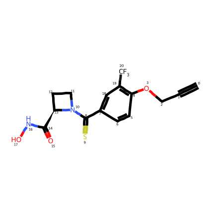 C#CCOc1ccc(C(=S)N2CC[C@@H]2C(=O)NO)cc1C(F)(F)F